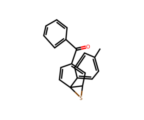 Cc1ccc(C23C=CC(C(=O)c4ccccc4)=CC2S3)cc1